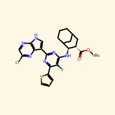 CCCCOC(=O)[C@H]1CC2CCCC(C2)[C@@H]1Nc1nc(-c2c[nH]c3ncc(Cl)nc23)nc(-c2cccs2)c1F